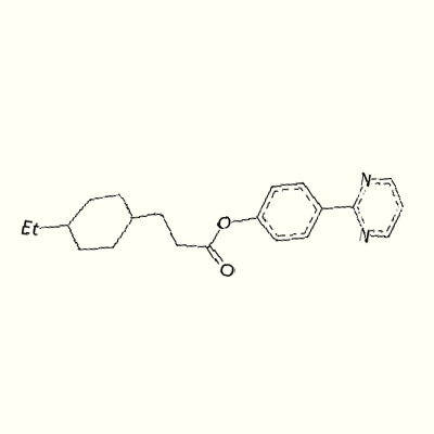 CCC1CCC(CCC(=O)Oc2ccc(-c3ncccn3)cc2)CC1